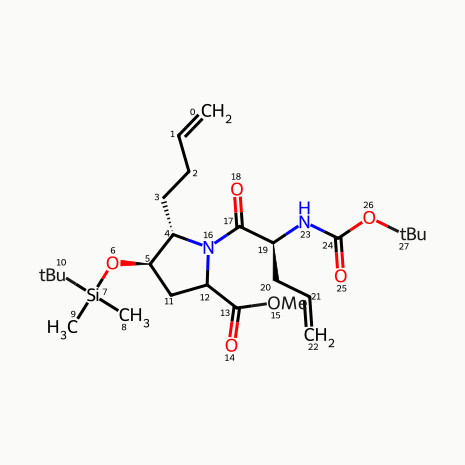 C=CCC[C@H]1[C@H](O[Si](C)(C)C(C)(C)C)CC(C(=O)OC)N1C(=O)[C@H](CC=C)NC(=O)OC(C)(C)C